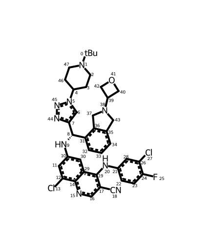 CC(C)(C)N1CCC(n2cc([C@@H](Nc3cc(Cl)c4ncc(C#N)c(Nc5ccc(F)c(Cl)c5)c4c3)c3cccc4c3CN(C3COC3)C4)nn2)CC1